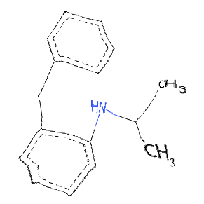 CC(C)Nc1ccccc1Cc1ccccc1